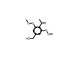 COOc1cc(CO)cc(OOC)c1C(C)C